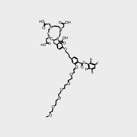 COCCOCCOCCOCCOCCOCCOc1cc(CCCOc2ccc(C[C@H]3CN(CC(=O)O)CCN(CC(=O)O)CCN(CC(=O)O)CCN3CC(=O)O)cc2)ccc1C(=O)Oc1c(F)c(F)cc(F)c1F